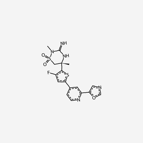 CN1C(=N)N[C@](C)(c2sc(-c3ccnc(-c4cnco4)c3)cc2F)CS1(=O)=O